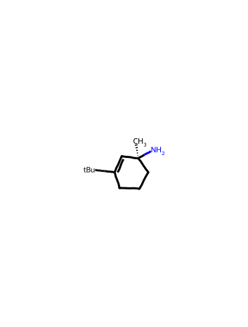 CC(C)(C)C1=C[C@@](C)(N)CCC1